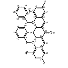 Cc1cc(F)c(OCc2ccccc2)c(/C=C2\CCC/C(=C\c3cc(C)cc(F)c3OCc3ccccc3)C2=O)c1